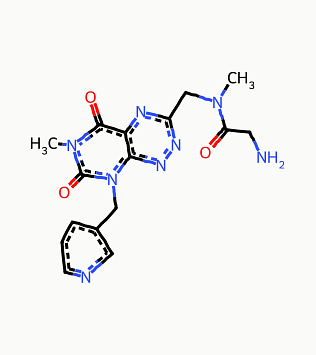 CN(Cc1nnc2c(n1)c(=O)n(C)c(=O)n2Cc1cccnc1)C(=O)CN